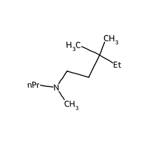 CCCN(C)CCC(C)(C)CC